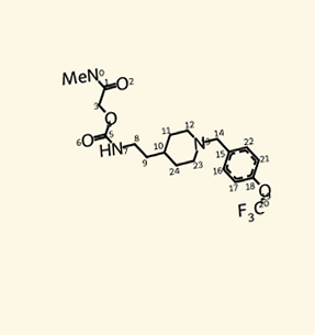 CNC(=O)COC(=O)NCCC1CCN(Cc2ccc(OC(F)(F)F)cc2)CC1